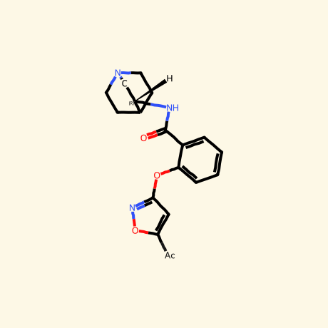 CC(=O)c1cc(Oc2ccccc2C(=O)N[C@H]2CN3CCC2CC3)no1